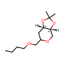 CCCCOCC1C[C@@H]2OC(C)(C)O[C@@H]2CO1